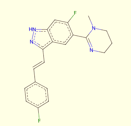 CN1CCCN=C1c1cc2c(C=Cc3ccc(F)cc3)n[nH]c2cc1F